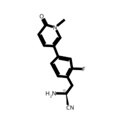 Cn1cc(-c2ccc(C[C@H](N)C#N)c(F)c2)ccc1=O